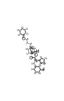 O=C(O[C@H]1C[N+]2(CCCOc3ccccc3)CCC1CC2)N(Cc1cccc(F)c1)c1ccsc1